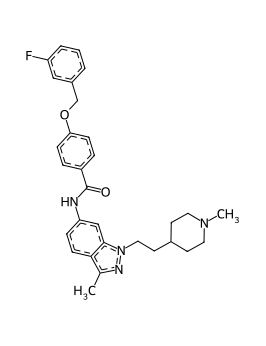 Cc1nn(CCC2CCN(C)CC2)c2cc(NC(=O)c3ccc(OCc4cccc(F)c4)cc3)ccc12